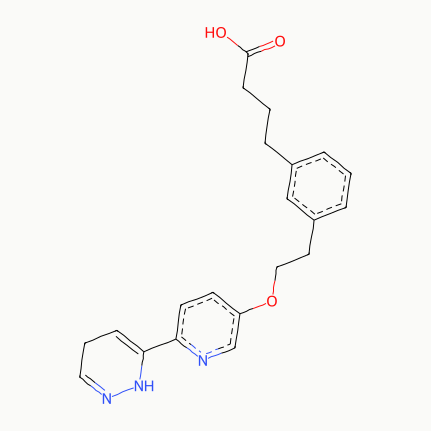 O=C(O)CCCc1cccc(CCOc2ccc(C3=CCC=NN3)nc2)c1